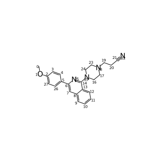 COc1ccc(-c2cc3ccccc3c(N3CCN(CCC#N)CC3)n2)cc1